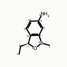 CC[C@@H]1OB(C)c2cc(N)ccc21